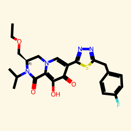 CCOC[C@H]1Cn2cc(-c3nnc(Cc4ccc(F)cc4)s3)c(=O)c(O)c2C(=O)N1C(C)C